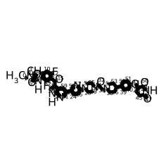 CCN(C)S(=O)(=O)Nc1ccc(F)c(C(=O)c2c[nH]c3ncc(-c4ccc(N5CCN(C(=O)CN6CCC(c7ccc(OC8CCC(=O)NC8=O)cc7)CC6)CC5)nc4)cc23)c1F